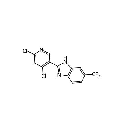 FC(F)(F)c1ccc2nc(-c3cnc(Cl)cc3Cl)[nH]c2c1